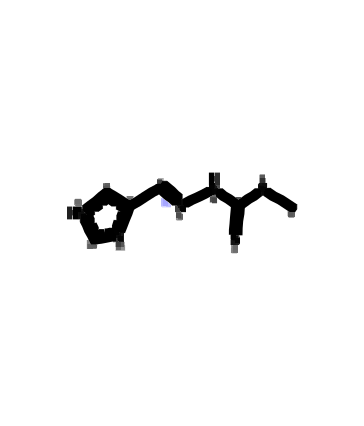 CSC(=S)N/N=C/c1c[nH]cn1